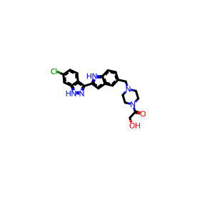 O=C(CO)N1CCN(Cc2ccc3[nH]c(-c4n[nH]c5cc(Cl)ccc45)cc3c2)CC1